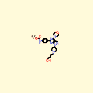 COC(=O)Nc1ccc(-c2nc(N3CCOCC3)c3cnn(C4CCN(CCCCO)CC4)c3n2)cc1